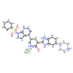 Cl.Cl.O=c1[nH]cc(-c2ccnc3c2ccn3S(=O)(=O)c2ccccc2)cc1-c1nc2cc(N3CCNCC3)ccc2[nH]1